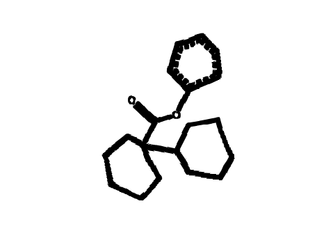 O=C(Oc1ccccc1)C1(C2CCCCC2)CCCCC1